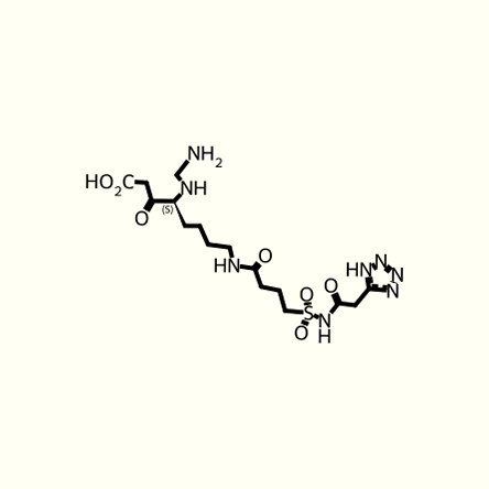 NCN[C@@H](CCCCNC(=O)CCCS(=O)(=O)NC(=O)Cc1nnn[nH]1)C(=O)CC(=O)O